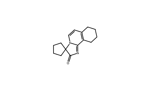 O=C1N=C2C3=C(C=CN2C12CCCC2)CCCC3